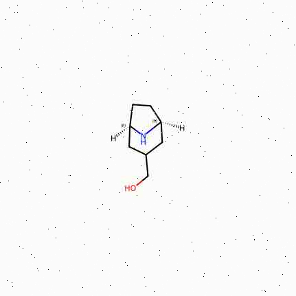 OCC1C[C@H]2CC[C@@H](C1)N2